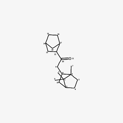 CC1(C)C2CCC1(C)C(CC(=O)C1CC3CCC1C3)C2